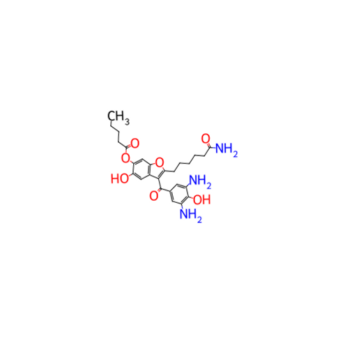 CCCCC(=O)Oc1cc2oc(CCCCCC(N)=O)c(C(=O)c3cc(N)c(O)c(N)c3)c2cc1O